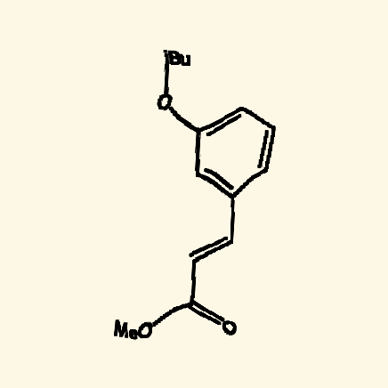 CCC(C)Oc1cccc(C=CC(=O)OC)c1